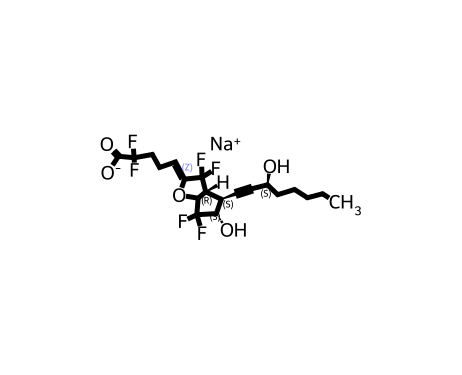 CCCCC[C@H](O)C#C[C@@H]1[C@@H]2C(O/C(=C\CCC(F)(F)C(=O)[O-])C2(F)F)C(F)(F)[C@H]1O.[Na+]